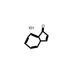 O=C1C=CC2C=CC=CC=C12.[KH]